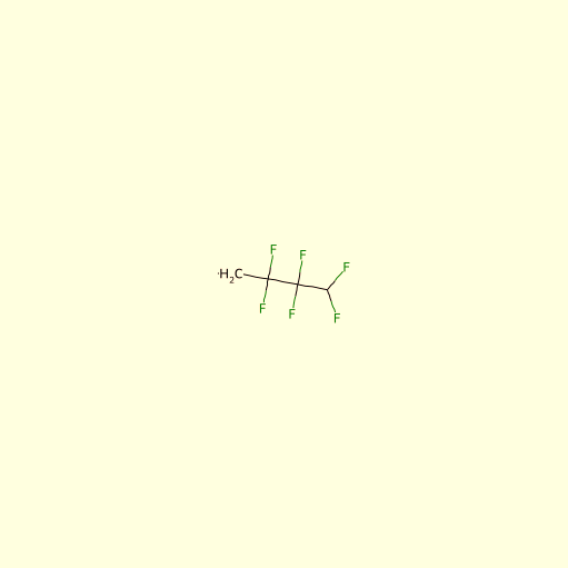 [CH2]C(F)(F)C(F)(F)C(F)F